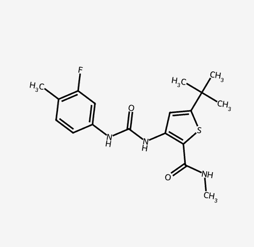 CNC(=O)c1sc(C(C)(C)C)cc1NC(=O)Nc1ccc(C)c(F)c1